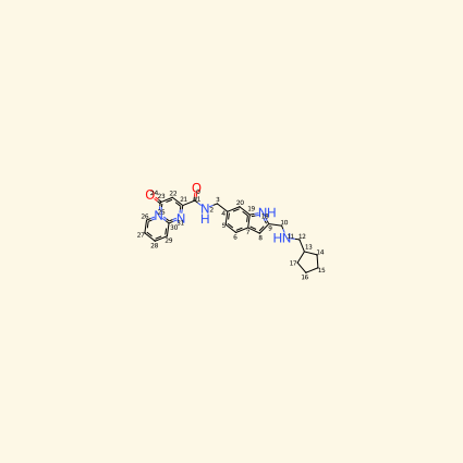 O=C(NCc1ccc2cc(CNCC3CCCC3)[nH]c2c1)c1cc(=O)n2ccccc2n1